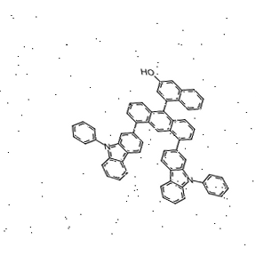 Oc1cc(-c2c3cccc(-c4ccc5c6ccccc6n(-c6ccccc6)c5c4)c3cc3c(-c4ccc5c6ccccc6n(-c6ccccc6)c5c4)cccc23)c2ccccc2c1